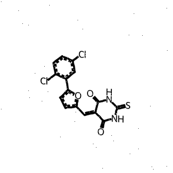 O=C1NC(=S)NC(=O)C1=Cc1ccc(-c2cc(Cl)ccc2Cl)o1